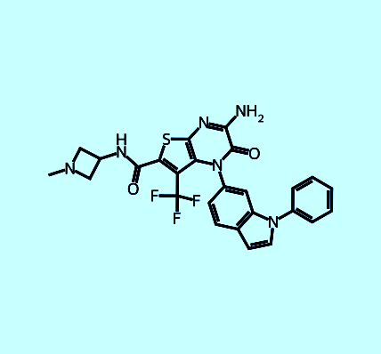 CN1CC(NC(=O)c2sc3nc(N)c(=O)n(-c4ccc5ccn(-c6ccccc6)c5c4)c3c2C(F)(F)F)C1